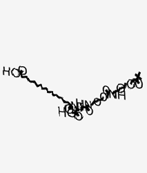 CC(C)(C)C(=O)COCCOCCNC(=O)COCCOCCNC(=O)CC[C@H](NC(=O)CCCCCCCCCCCCCCCCC(=O)O)C(=O)O